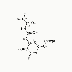 C=C(CC(=O)OCCCCCCC)C(=O)OCC(=O)N[S+]([O-])N(C)C